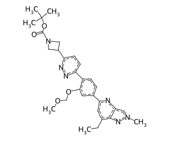 CCc1cc(-c2ccc(-c3ccc(C4CN(C(=O)OC(C)(C)C)C4)nn3)c(OCOC)c2)nc2cn(C)nc12